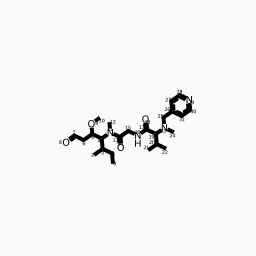 CCC(C)C(C(CC=O)OC)N(C)C(=O)CNC(=O)C(C(C)C)N(C)Cc1ccncc1